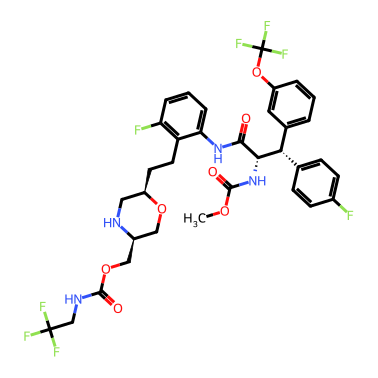 COC(=O)N[C@H](C(=O)Nc1cccc(F)c1CC[C@@H]1CN[C@H](COC(=O)NCC(F)(F)F)CO1)[C@@H](c1ccc(F)cc1)c1cccc(OC(F)(F)F)c1